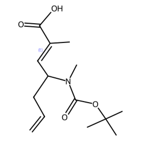 C=CCC(/C=C(\C)C(=O)O)N(C)C(=O)OC(C)(C)C